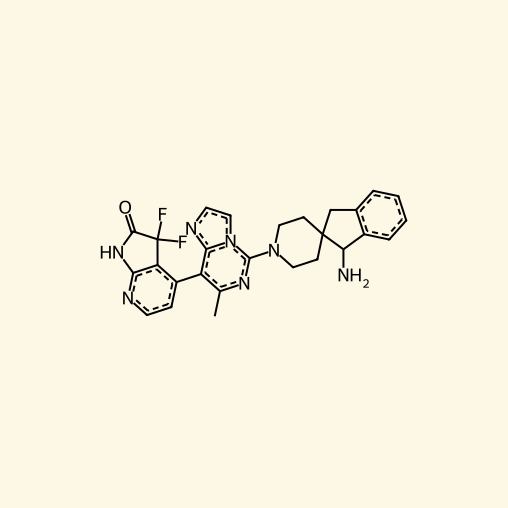 Cc1nc(N2CCC3(CC2)Cc2ccccc2C3N)n2ccnc2c1-c1ccnc2c1C(F)(F)C(=O)N2